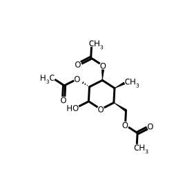 CC(=O)OC[C@H]1OC(O)[C@H](OC(C)=O)[C@@H](OC(C)=O)[C@H]1C